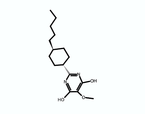 CCCCC[C@H]1CC[C@H](c2nc(O)c(OC)c(O)n2)CC1